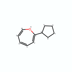 C1=CC=C(C2CCCC2)OC=C1